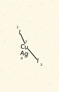 [Ag].[I][Cu][I]